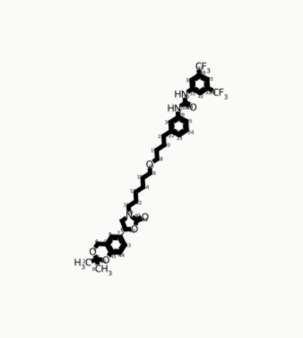 CC1(C)OCc2cc([C@@H]3CN(CCCCCCOCCCCc4cccc(NC(=O)Nc5cc(C(F)(F)F)cc(C(F)(F)F)c5)c4)C(=O)O3)ccc2O1